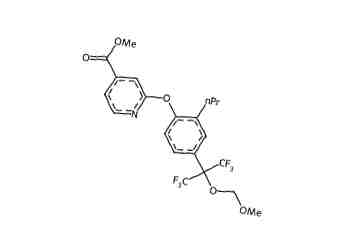 CCCc1cc(C(OCOC)(C(F)(F)F)C(F)(F)F)ccc1Oc1cc(C(=O)OC)ccn1